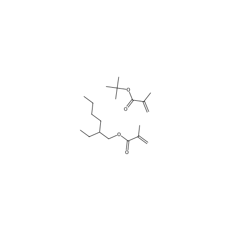 C=C(C)C(=O)OC(C)(C)C.C=C(C)C(=O)OCC(CC)CCCC